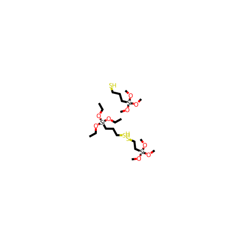 CCO[Si](CCCS)(OCC)OCC.CO[Si](CCCS)(OC)OC.CO[Si](CCS)(OC)OC